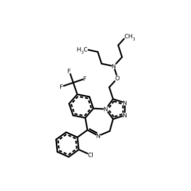 CCCN(CCC)OCc1nnc2n1-c1cc(C(F)(F)F)ccc1C(c1ccccc1Cl)=NC2